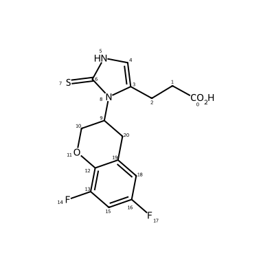 O=C(O)CCc1c[nH]c(=S)n1C1COc2c(F)cc(F)cc2C1